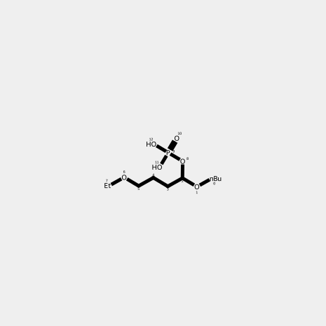 CCCCOC(CCCOCC)OP(=O)(O)O